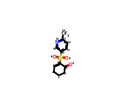 O=C1CCCC=C1S(=O)(=O)c1ccc(C(F)(F)F)nc1